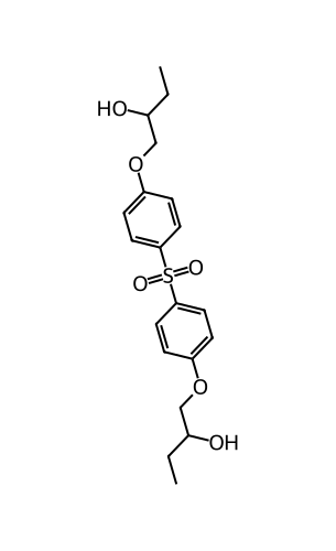 CCC(O)COc1ccc(S(=O)(=O)c2ccc(OCC(O)CC)cc2)cc1